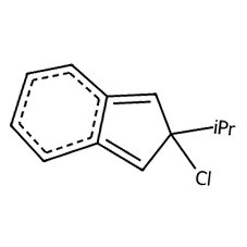 CC(C)C1(Cl)C=c2ccccc2=C1